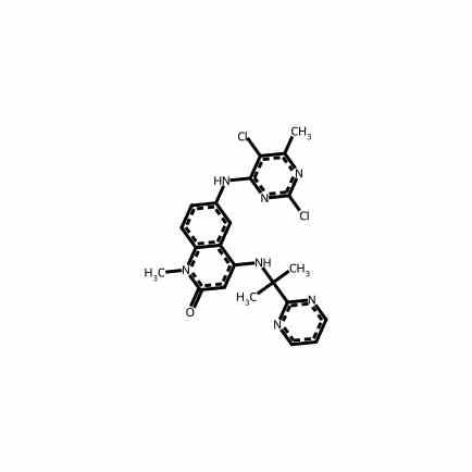 Cc1nc(Cl)nc(Nc2ccc3c(c2)c(NC(C)(C)c2ncccn2)cc(=O)n3C)c1Cl